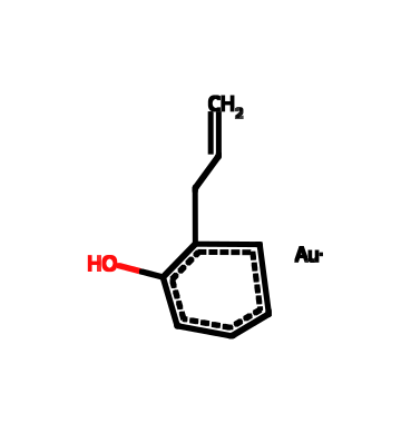 C=CCc1ccccc1O.[Au]